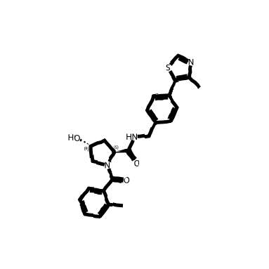 Cc1ccccc1C(=O)N1C[C@H](O)C[C@H]1C(=O)NCc1ccc(-c2scnc2C)cc1